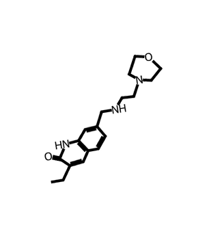 CCc1cc2ccc(CNCCN3CCOCC3)cc2[nH]c1=O